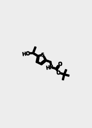 CC(O)c1ccc(CNC(=O)OC(C)(C)C)s1